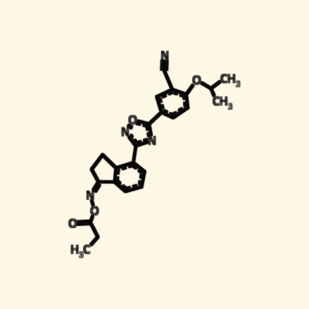 CCC(=O)O/N=C1/CCc2c1cccc2-c1noc(-c2ccc(OC(C)C)c(C#N)c2)n1